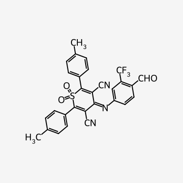 Cc1ccc(C2=C(C#N)C(=Nc3ccc(C=O)c(C(F)(F)F)c3)C(C#N)=C(c3ccc(C)cc3)S2(=O)=O)cc1